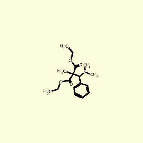 CCOC(=O)C(C)(C(=O)OCC)C(c1ccccc1)N(C)C